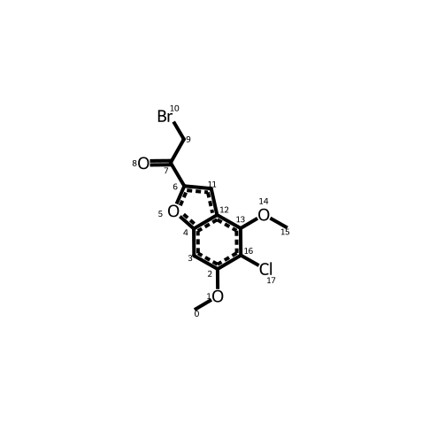 COc1cc2oc(C(=O)CBr)cc2c(OC)c1Cl